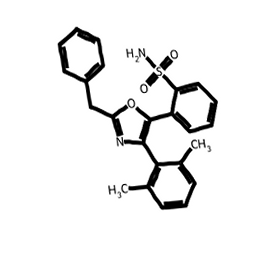 Cc1cccc(C)c1-c1nc(Cc2ccccc2)oc1-c1ccccc1S(N)(=O)=O